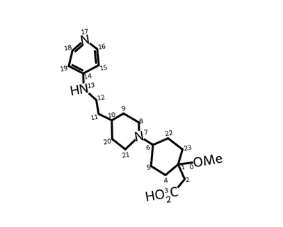 COC1(CC(=O)O)CCC(N2CCC(CCNc3ccncc3)CC2)CC1